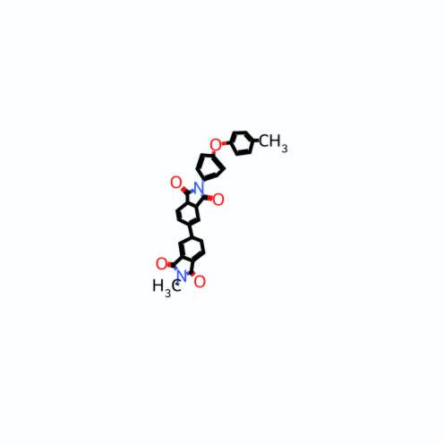 Cc1ccc(Oc2ccc(N3C(=O)C4C=CC(C5C=C6C(=O)N(C)C(=O)C6=CC5)=CC4C3=O)cc2)cc1